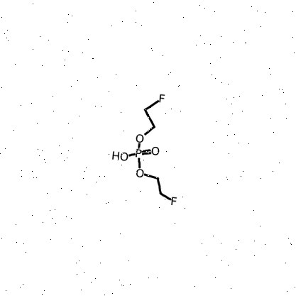 O=P(O)(OCCF)OCCF